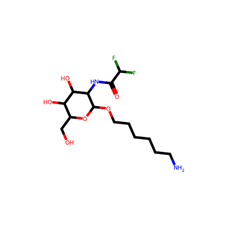 NCCCCCCOC1OC(CO)C(O)C(O)C1NC(=O)C(F)F